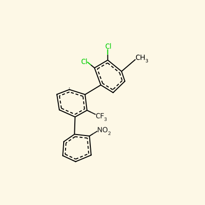 Cc1ccc(-c2[c]ccc(-c3ccccc3[N+](=O)[O-])c2C(F)(F)F)c(Cl)c1Cl